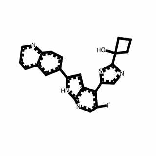 OC1(c2ncc(-c3c(F)cnc4[nH]c(-c5ccc6ncccc6c5)cc34)s2)CCC1